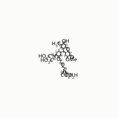 COc1cc2c(-c3ccc(N(CC(=O)O)CC(=O)O)c(OCCOCCN(CC(=O)O)CC(=O)O)c3)c3cc(C)c(O)cc3oc-2cc1=O